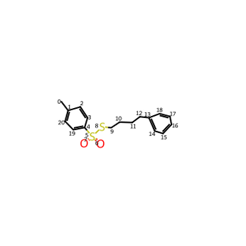 Cc1ccc(S(=O)(=O)SCCCCc2ccccc2)cc1